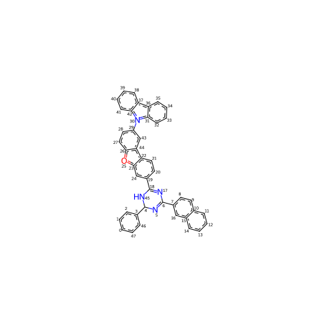 c1ccc(C2N=C(c3ccc4ccccc4c3)N=C(c3ccc4c(c3)oc3ccc(-n5c6ccccc6c6ccccc65)cc34)N2)cc1